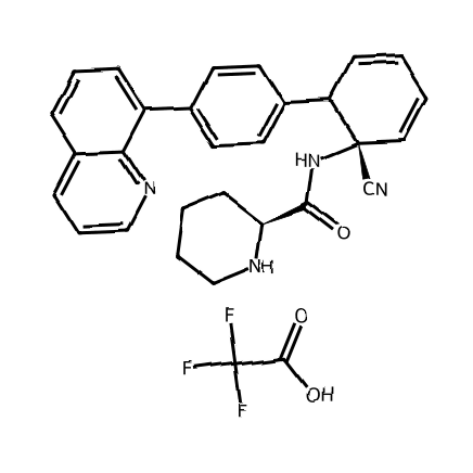 N#C[C@]1(NC(=O)[C@@H]2CCCCN2)C=CC=CC1c1ccc(-c2cccc3cccnc23)cc1.O=C(O)C(F)(F)F